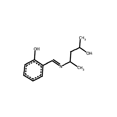 CC(O)CC(C)N=Cc1ccccc1O